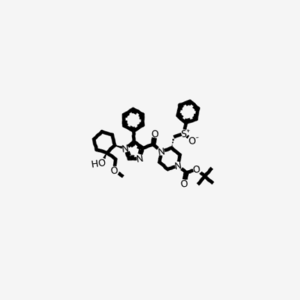 COC[C@]1(O)CCCC[C@H]1n1cnc(C(=O)N2CCN(C(=O)OC(C)(C)C)C[C@H]2C[S+]([O-])c2ccccc2)c1-c1ccccc1